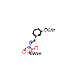 CNC(=O)[C@H](CO)/N=C/c1cccc(OC)c1